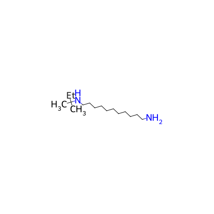 CCC(C)(C)NCCCCCCCCCCCN